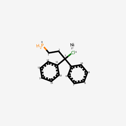 PCCC(Cl)(c1ccccc1)c1ccccc1.[Ni]